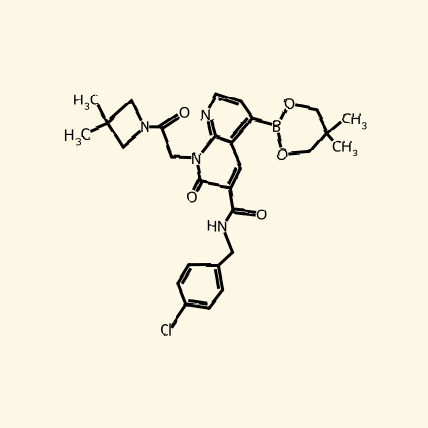 CC1(C)COB(c2ccnc3c2cc(C(=O)NCc2ccc(Cl)cc2)c(=O)n3CC(=O)N2CC(C)(C)C2)OC1